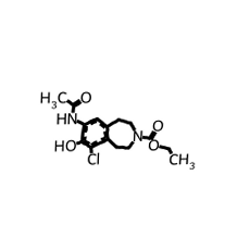 CCOC(=O)N1CCc2cc(NC(C)=O)c(O)c(Cl)c2CC1